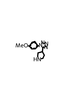 COc1ccc(-n2nnnc2C2CCNCC2)cc1